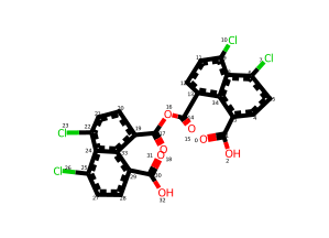 O=C(O)c1ccc(Cl)c2c(Cl)ccc(C(=O)OC(=O)c3ccc(Cl)c4c(Cl)ccc(C(=O)O)c34)c12